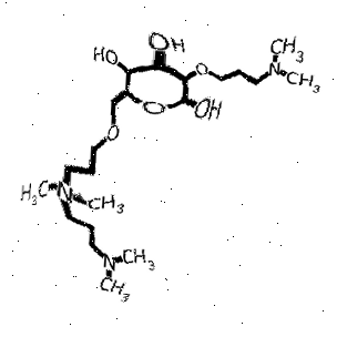 CN(C)CCCOC1C(O)OC(COCCC[N+](C)(C)CCCN(C)C)C(O)C1O